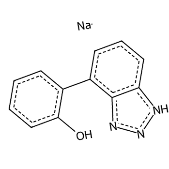 Oc1ccccc1-c1cccc2[nH]nnc12.[Na]